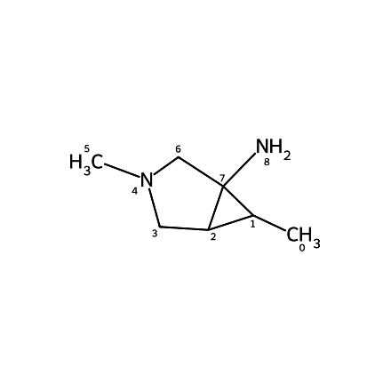 CC1C2CN(C)CC12N